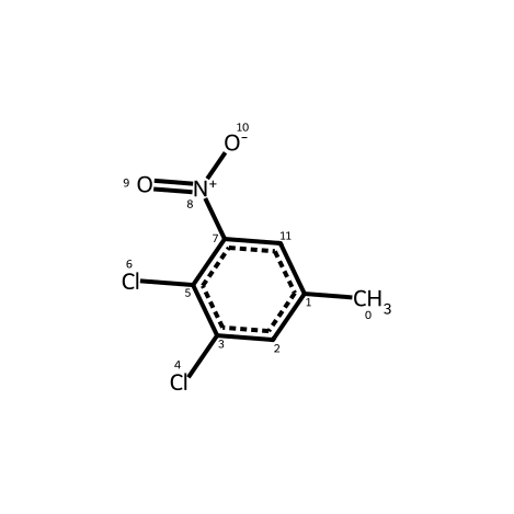 Cc1cc(Cl)c(Cl)c([N+](=O)[O-])c1